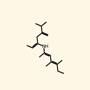 C=C(C/C(=C\C)N/C(C)=C/C(C)=C(\C)CC)C(C)C